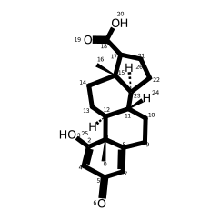 C[C@]12C(O)=CC(=O)C=C1CC[C@@H]1[C@@H]2CC[C@]2(C)C(C(=O)O)CC[C@@H]12